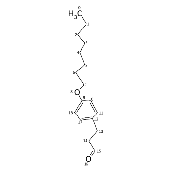 CCCCCCCCOc1ccc(CCC=O)cc1